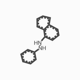 c1ccc(NNc2cccc3ccccc23)cc1